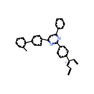 C=C/C=C(\C=C)c1ccc(-c2nc(-c3ccccc3)cc(-c3ccc(-c4ccccc4C)cc3)n2)cc1